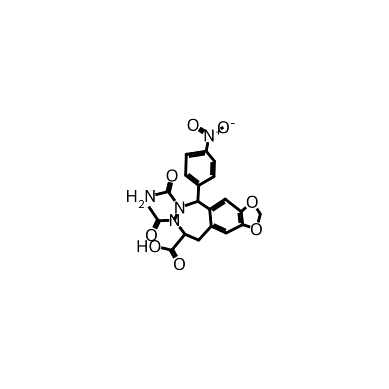 CC(=O)N1C(C(=O)O)Cc2cc3c(cc2C(c2ccc([N+](=O)[O-])cc2)N1C(N)=O)OCO3